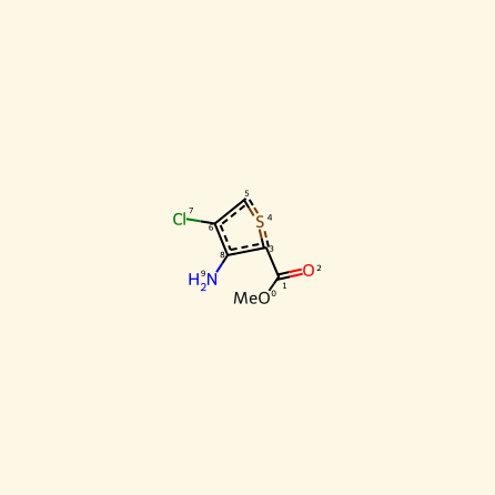 COC(=O)c1scc(Cl)c1N